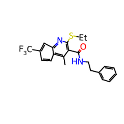 CCSc1nc2cc(C(F)(F)F)ccc2c(C)c1C(=O)NCCc1ccccc1